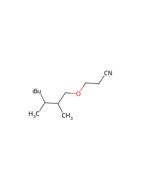 CCC(C)C(C)C(C)COCCC#N